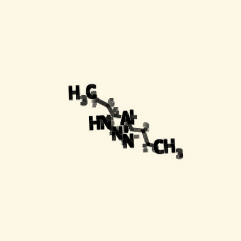 CCC[CH2][Al][CH2]CCC.[N-]=[N+]=N